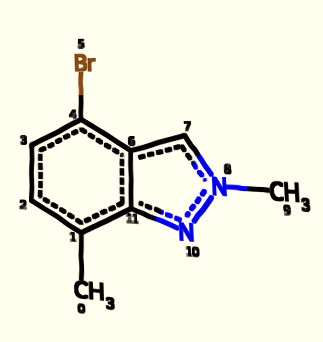 Cc1ccc(Br)c2cn(C)nc12